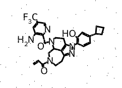 C=CC(=O)N1CCc2nn(-c3ccc(C4CCC4)cc3O)c3c2C(C1)N(C(=O)c1ncc(C(F)(F)F)cc1N)CC3